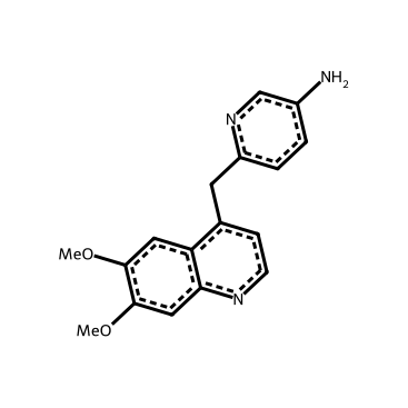 COc1cc2nccc(Cc3ccc(N)cn3)c2cc1OC